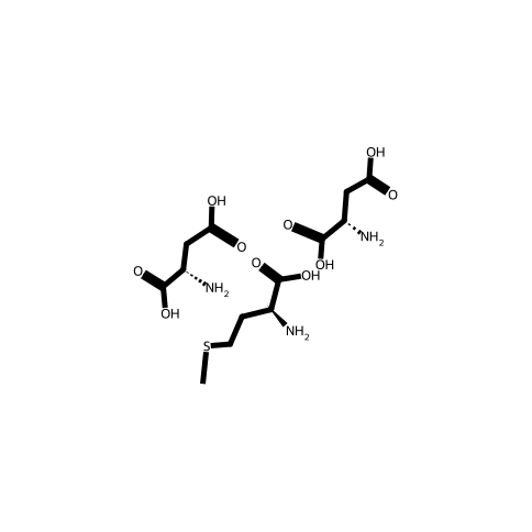 CSCC[C@H](N)C(=O)O.N[C@@H](CC(=O)O)C(=O)O.N[C@@H](CC(=O)O)C(=O)O